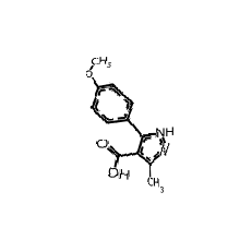 COc1ccc(-c2[nH]nc(C)c2C(=O)O)cc1